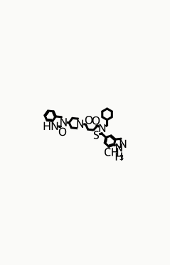 Cc1cc(C2SC(CC(=O)N3CCC(N4Cc5ccccc5NC4=O)CC3)C(=O)N2CC2CCCCC2)cc2cn[nH]c12